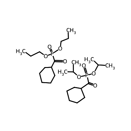 CC(C)OP(=O)(OC(C)C)C(=O)C1CCCCC1.CCCOP(=O)(OCCC)C(=O)C1CCCCC1